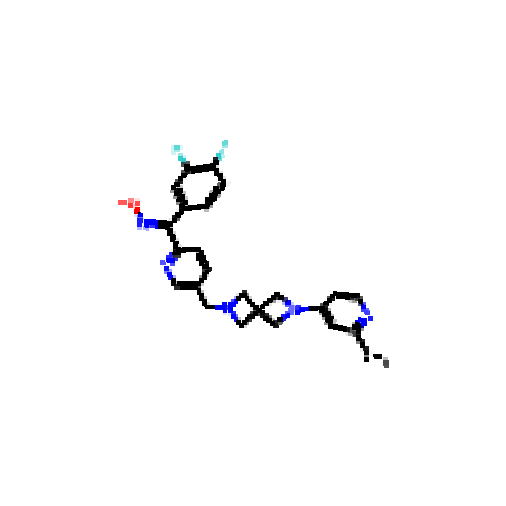 Cc1cc(N2CC3(CN(Cc4ccc(/C(=N/O)c5ccc(F)c(F)c5)nc4)C3)C2)ccn1